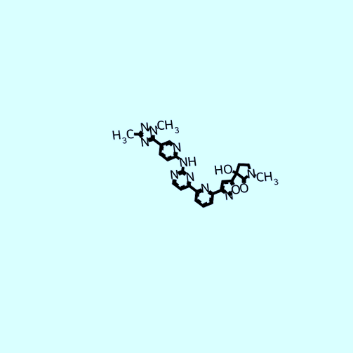 Cc1nc(-c2ccc(Nc3nccc(-c4cccc(-c5cc(C6(O)CCN(C)C6=O)on5)n4)n3)nc2)n(C)n1